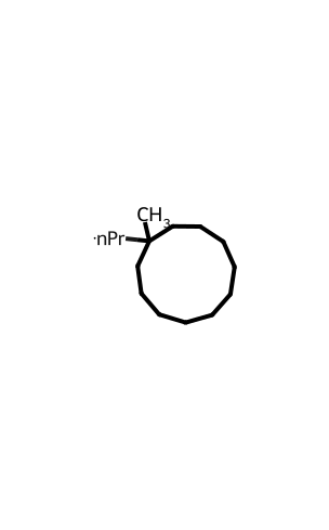 CC[CH]C1(C)CCCCCCCCCC1